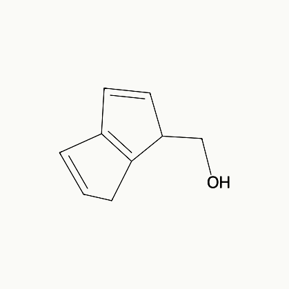 OCC1C=CC2=C1CC=C2